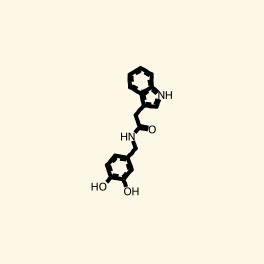 O=C(Cc1c[nH]c2ccccc12)NCc1ccc(O)c(O)c1